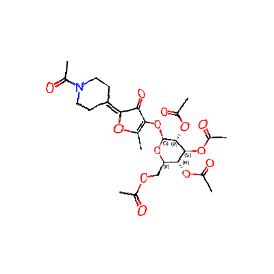 CC(=O)OC[C@H]1O[C@@H](OC2=C(C)OC(=C3CCN(C(C)=O)CC3)C2=O)[C@H](OC(C)=O)[C@@H](OC(C)=O)[C@@H]1OC(C)=O